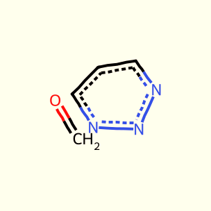 C=O.c1cnnnc1